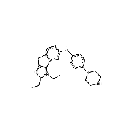 CCc1nc2c(n1C(C)C)-c1nc(Nc3ccc(N4CCNCC4)cn3)ncc1C2